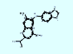 CC(=O)Oc1cc(C(F)F)nc2cc(C)c(Oc3ccc4c(c3)OCO4)cc12